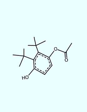 CC(=O)Oc1ccc(O)c(C(C)(C)C)c1C(C)(C)C